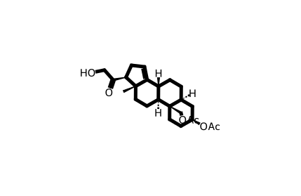 CC(=O)OC[C@]12CC[C@H](OC(C)=O)C[C@@H]1CC[C@H]1C3=CC[C@H](C(=O)CO)[C@@]3(C)CC[C@@H]12